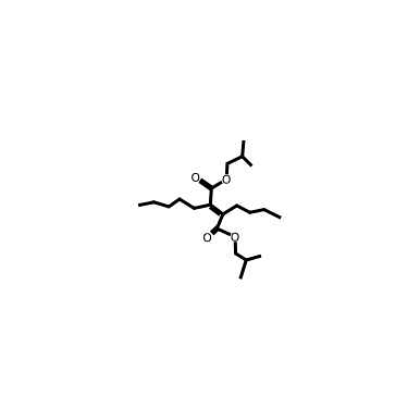 CCCCCC(C(=O)OCC(C)C)=C(CCCC)C(=O)OCC(C)C